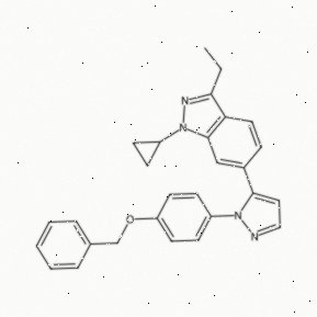 CCc1nn(C2CC2)c2cc(-c3ccnn3-c3ccc(OCc4ccccc4)cc3)ccc12